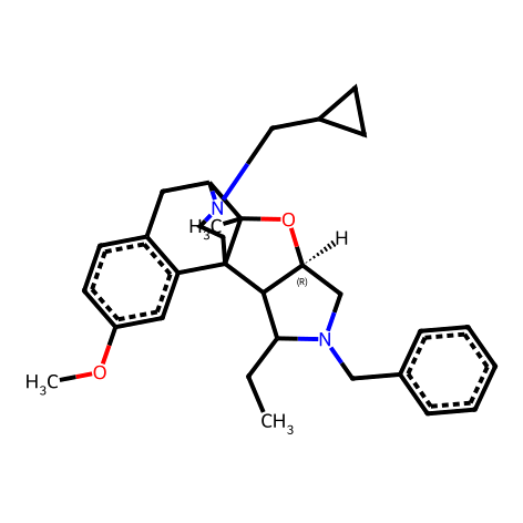 CCC1C2[C@H](CN1Cc1ccccc1)OC1(C)C3Cc4ccc(OC)cc4C21CCN3CC1CC1